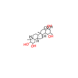 C[C@@H]1CC(O)[C@]2(C(=O)O)CC[C@]3(C)C(=CC[C@@H]4[C@@]5(C)CC(O)C(O)C(C)(C)[C@@H]5CC[C@]43C)[C@@H]2[C@]1(C)O